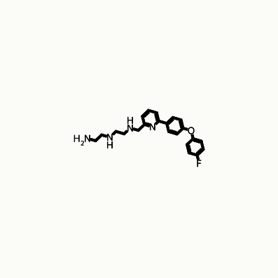 NCCNCCNCc1cccc(-c2ccc(Oc3ccc(F)cc3)cc2)n1